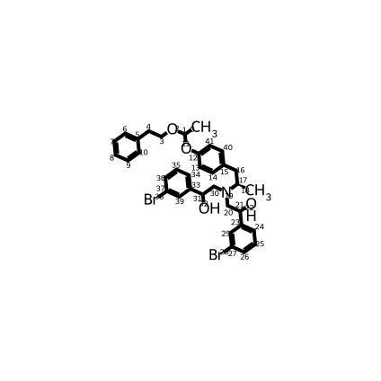 CC(OCCc1ccccc1)Oc1ccc(C[C@@H](C)N(CC(O)c2cccc(Br)c2)CC(O)c2cccc(Br)c2)cc1